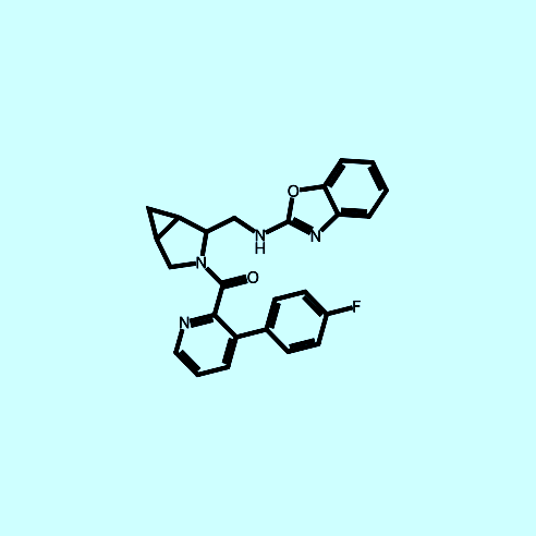 O=C(c1ncccc1-c1ccc(F)cc1)N1CC2CC2C1CNc1nc2ccccc2o1